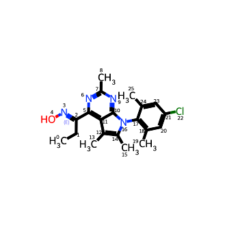 CC/C(=N\O)c1nc(C)nc2c1c(C)c(C)n2-c1c(C)cc(Cl)cc1C